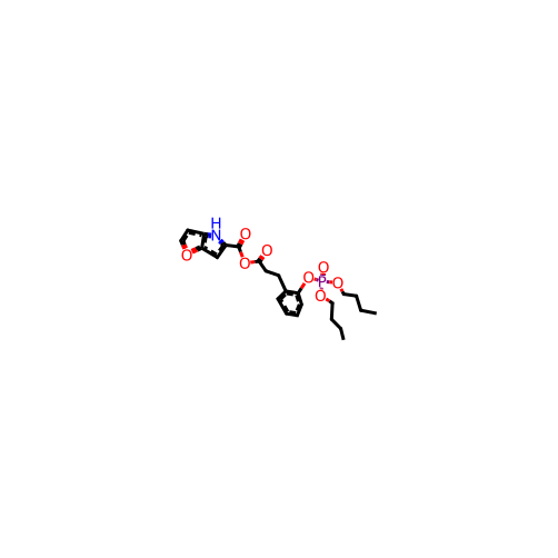 CCCCOP(=O)(OCCCC)Oc1ccccc1CCC(=O)OC(=O)c1cc2occc2[nH]1